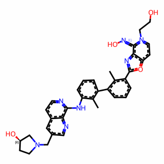 Cc1c(Nc2nccc3cc(CN4CC[C@@H](O)C4)cnc23)cccc1-c1cccc(-c2nc3/c(=N\O)n(CCO)ccc3o2)c1C